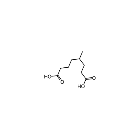 CC(CCCC(=O)O)CCC(=O)O